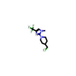 Cn1cc(C(F)(F)F)nc1N1CCC(CCl)CC1